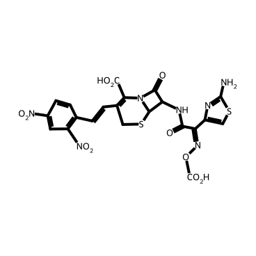 Nc1nc(/C(=N/OC(=O)O)C(=O)NC2C(=O)N3C(C(=O)O)=C(/C=C/c4ccc([N+](=O)[O-])cc4[N+](=O)[O-])CSC23)cs1